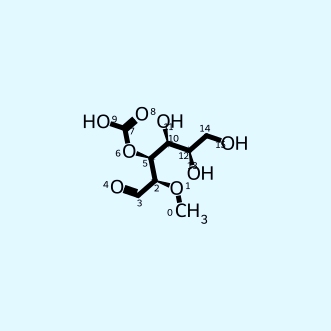 CO[C@@H](C=O)[C@@H](OC(=O)O)[C@@H](O)[C@H](O)CO